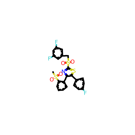 CS(=O)(=O)c1ccccc1-c1nc(S(=O)(=O)Cc2cc(F)cc(F)c2)sc1-c1ccc(F)cc1